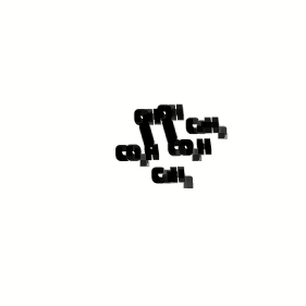 O=C(O)O.O=C(O)O.[CaH2].[CaH2]